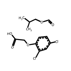 CC(C)COC=O.O=C(O)COc1ccc(Cl)cc1Cl